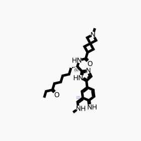 CCC(=O)CCCCC[C@H](NC(=O)C1CC2(C1)CN(C)C2)c1ncc(C2=C/C(=C/NC)C(=N)C=C2)[nH]1